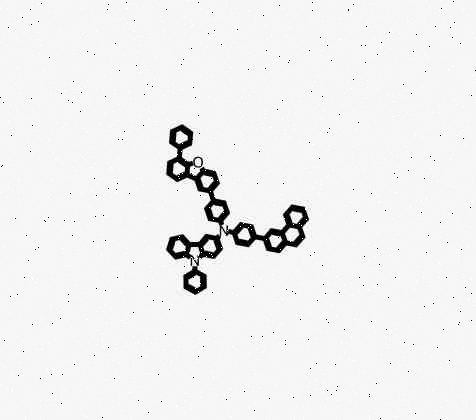 c1ccc(-c2cccc3c2oc2ccc(-c4ccc(N(c5ccc(-c6ccc7ccc8ccccc8c7c6)cc5)c5ccc6c(c5)c5ccccc5n6-c5ccccc5)cc4)cc23)cc1